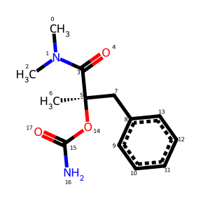 CN(C)C(=O)[C@@](C)(Cc1ccccc1)OC(N)=O